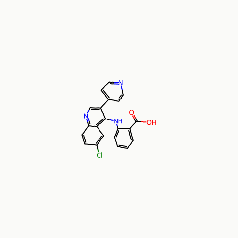 O=C(O)c1ccccc1Nc1c(-c2ccncc2)cnc2ccc(Cl)cc12